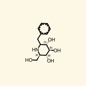 OC[C@H]1NC(Cc2ccccc2)[C@H](O)[C@@H](O)[C@@H]1O